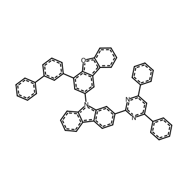 c1ccc(-c2cccc(-c3cc(-n4c5ccccc5c5ccc(-c6nc(-c7ccccc7)cc(-c7ccccc7)n6)cc54)cc4c3oc3ccccc34)c2)cc1